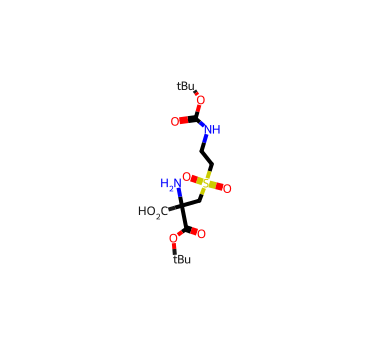 CC(C)(C)OC(=O)NCCS(=O)(=O)CC(N)(C(=O)O)C(=O)OC(C)(C)C